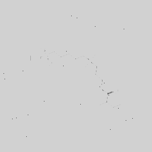 CCC(C)C(=O)NCCC[N+](C)(C)CCCCCS(=O)(=O)O